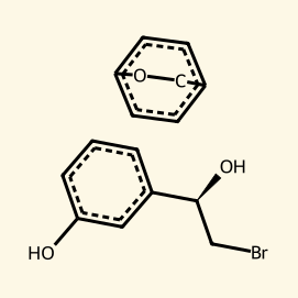 Oc1cccc([C@@H](O)CBr)c1.c1cc2ccc1CO2